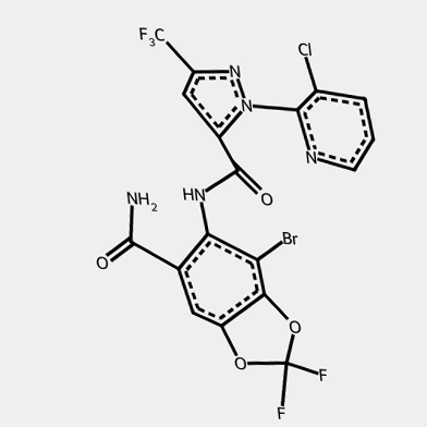 NC(=O)c1cc2c(c(Br)c1NC(=O)c1cc(C(F)(F)F)nn1-c1ncccc1Cl)OC(F)(F)O2